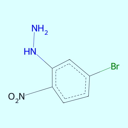 NNc1cc(Br)ccc1[N+](=O)[O-]